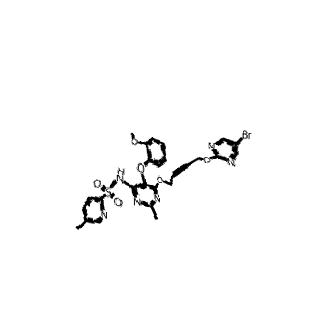 COc1ccccc1Oc1c(NS(=O)(=O)c2ccc(C)cn2)nc(C)nc1OCC#CCOc1ncc(Br)cn1